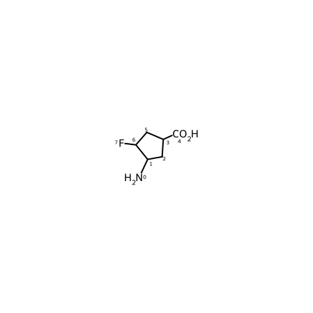 NC1CC(C(=O)O)CC1F